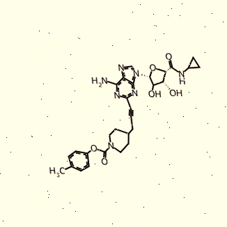 Cc1ccc(OC(=O)N2CCC(CC#Cc3nc(N)c4ncn([C@@H]5O[C@H](C(=O)NC6CC6)[C@H](O)C5O)c4n3)CC2)cc1